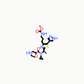 COC(=O)NCCCc1nc([C@@H](C)N(C(=O)[C@H]2CNCCO2)C2CC2)sc1-c1cn[nH]c1